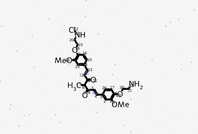 COc1cc(/C=C/C(=O)C(C)C(=O)/C=C/c2ccc(OCCNCl)c(OC)c2)ccc1OCCN